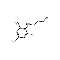 Cc1cc(C)c(NCCCBr)c(Cl)c1